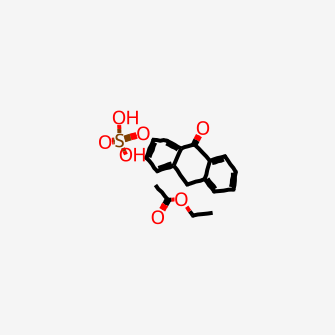 CCOC(C)=O.O=C1c2ccccc2Cc2ccccc21.O=S(=O)(O)O